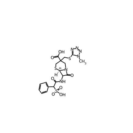 Cn1nnnc1SCC1(C(=O)O)CS[C@@H]2C(NC(=O)C(c3ccccc3)S(=O)(=O)O)C(=O)N2C1